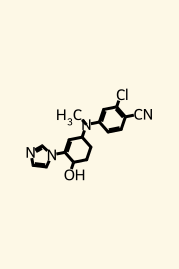 CN(c1ccc(C#N)c(Cl)c1)C1C=C(n2ccnc2)C(O)CC1